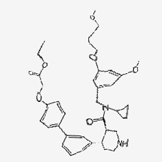 CCOC(=O)COc1ccc(-c2cccc([C@H]3CCNC[C@@H]3C(=O)N(Cc3cc(OC)cc(OCCCOC)c3)C3CC3)c2)cc1